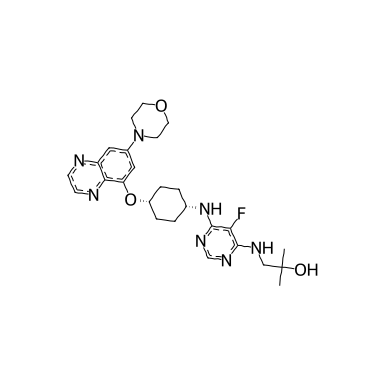 CC(C)(O)CNc1ncnc(N[C@H]2CC[C@@H](Oc3cc(N4CCOCC4)cc4nccnc34)CC2)c1F